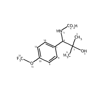 CC(C)(O)C(NC(=O)O)c1ccc(OC(F)(F)F)cc1